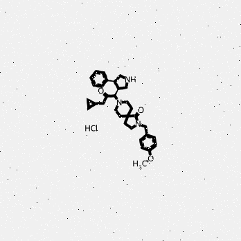 COc1ccc(CN2CCC3(CCN(C(C(=O)CC4CC4)[C@@H]4CNC[C@@H]4c4ccccc4)CC3)C2=O)cc1.Cl